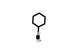 C#[N+]C1CCCCC1